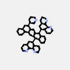 c1cncc(-c2cc3ccccc3c3cc4c(-c5cc6cccnc6c6ncccc56)c5ccccc5c(-c5cc6cccnc6c6ncccc56)c4cc23)c1